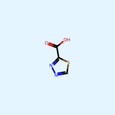 O=C(O)c1nn[c]s1